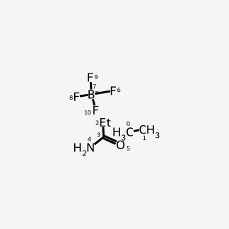 CC.CCC(N)=O.F[B-](F)(F)F